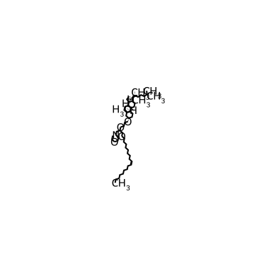 CCCCCCCC/C=C\CCCCCCCCOCC(CN1CCOCC1)OCCO[C@H]1CC[C@@]2(C)C(=CC[C@H]3[C@@H]4CC[C@H]([C@H](C)CCCC(C)C)[C@@]4(C)CC[C@@H]32)C1